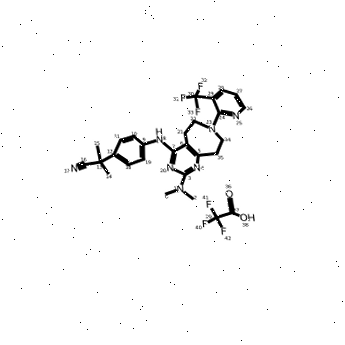 CN(C)c1nc2c(c(Nc3ccc(C(C)(C)C#N)cc3)n1)CCN(c1ncccc1C(F)(F)F)CC2.O=C(O)C(F)(F)F